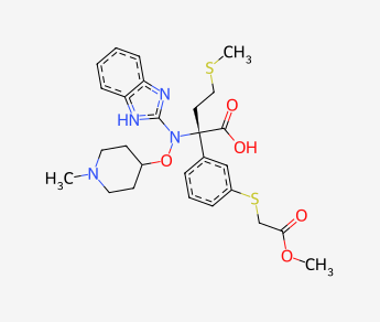 COC(=O)CSc1cccc([C@@](CCSC)(C(=O)O)N(OC2CCN(C)CC2)c2nc3ccccc3[nH]2)c1